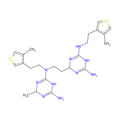 Cc1cscc1CCNC1=NC(CCN(CCc2cscc2C)C2=NC(C)N=C(N)N2)N=C(N)N1